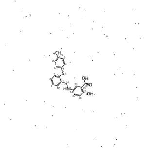 Cc1ccc(Sc2ccccc2CNc2ccc(O)c(C(=O)O)c2)cc1